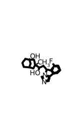 C[C@@]1(C(O)CC2c3c(F)cccc3-c3cncn32)CC2CCCC(O)(C2)C1